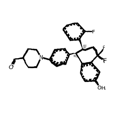 O=CC1CCN(c2ccc([C@@H]3c4ccc(O)cc4C(F)(F)C[C@@H]3c3ccccc3F)cc2)CC1